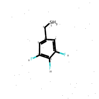 Fc1cc(C[SiH3])cc(F)c1F